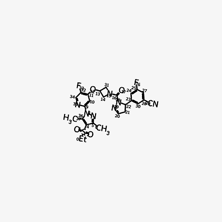 CCS(=O)(=O)c1c(C)nn(-c2cc(OC3CN(C(=O)N4N=CCC4c4cc(F)cc(C#N)c4)C3)c(F)cn2)c1C